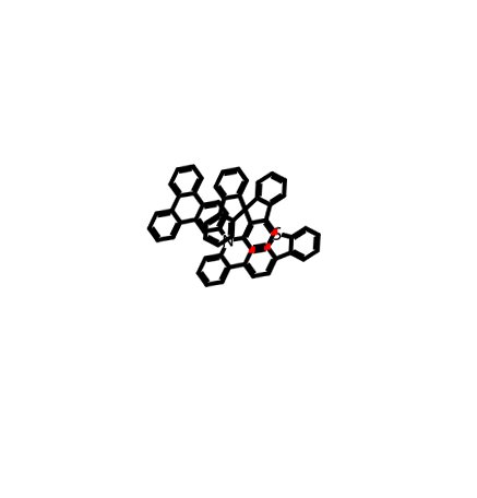 c1ccc(N(c2ccc3c4ccccc4c4ccccc4c3c2)c2cccc3c2C2(c4ccccc4-c4ccccc42)c2ccccc2-3)c(-c2ccc3c(c2)sc2ccccc23)c1